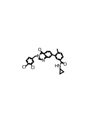 Cc1ccc(C(=O)NC2CC2)cc1-c1ccc2c(=O)n(Cc3ccc(Cl)c(Cl)c3)cnc2c1